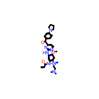 C=CC(=O)Nc1cc(Nc2nccc(C(=O)c3ccc(N4CCCC4)cc3)n2)c(OC)cc1N(C)CCN(C)C